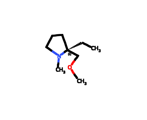 CC[C@@]1(COC)CCCN1C